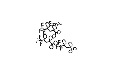 O=C([O-])C(=O)CC(=O)C(F)(F)F.O=C([O-])C(=O)CC(=O)C(F)(F)F.O=C([O-])C(=O)CC(=O)C(F)(F)F.[Sm+3]